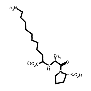 CCOC(=O)C(CCCCCCCCCN)N[C@@H](C)C(=O)N1CCC[C@H]1C(=O)O